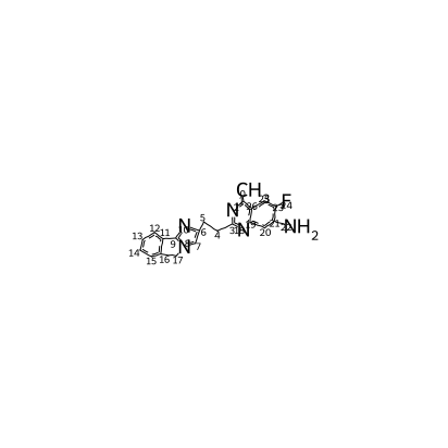 Cc1nc(CCc2cn3c(n2)-c2ccccc2C3)nc2cc(N)c(F)cc12